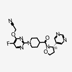 N#CCOc1nc(N2CCC(C(=O)N3OCC[C@H]3c3cncnc3)CC2)ncc1F